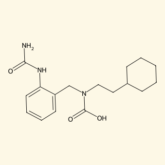 NC(=O)Nc1ccccc1CN(CCC1CCCCC1)C(=O)O